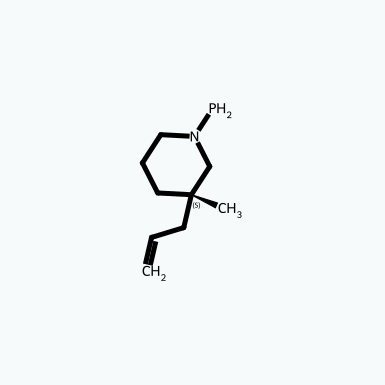 C=CC[C@]1(C)CCCN(P)C1